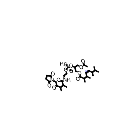 CC(=O)OCC(COC(=O)C(C)C(C)/C=C\C(C)C(C)C)OP(=O)(O)OCCNC(=O)C(C)C(C)C(=O)CN1C(=O)CCC1=O